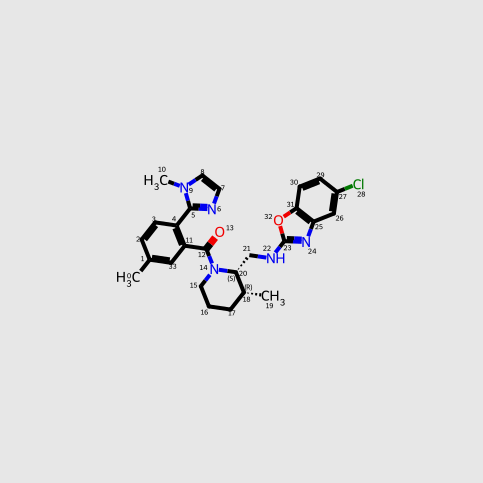 Cc1ccc(-c2nccn2C)c(C(=O)N2CCC[C@@H](C)[C@H]2CNc2nc3cc(Cl)ccc3o2)c1